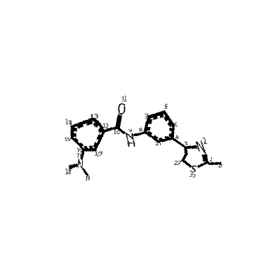 CC1=NC(c2cccc(NC(=O)c3cccc(N(C)C)c3)c2)CS1